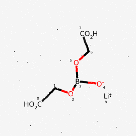 O=C(O)COB([O-])OCC(=O)O.[Li+]